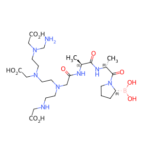 C[C@H](NC(=O)CN(CCNCC(=O)O)CCN(CCN(CN)CC(=O)O)CC(=O)O)C(=O)N[C@H](C)C(=O)N1CCC[C@H]1B(O)O